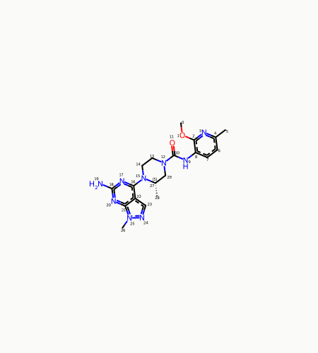 COc1nc(C)ccc1NC(=O)N1CCN(c2nc(N)nc3c2cnn3C)[C@@H](C)C1